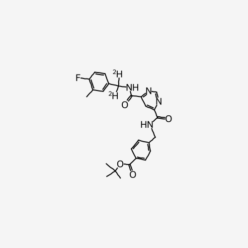 [2H]C([2H])(NC(=O)c1cc(C(=O)NCc2ccc(C(=O)OC(C)(C)C)cc2)ncn1)c1ccc(F)c(C)c1